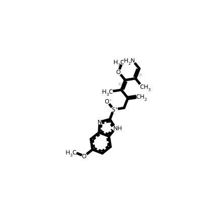 C=C(C[S+]([O-])c1nc2cc(OC)ccc2[nH]1)/C(C)=C(OC)\C(C)=C/N